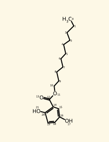 CCCCCCCCCCCOC(=O)c1cc(O)ccc1O